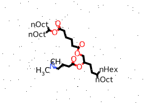 CCC[CH]CCCCC(CCCCCC)CCC(COC(=O)CCCCC(=O)OC(CCCCCCCC)CCCCCCCC)OC(=O)CCCN(C)C